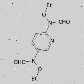 CCON(C=O)c1ccc(N(C=O)OCC)nc1